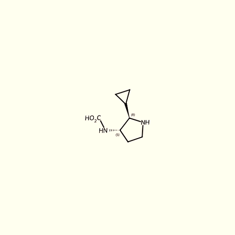 O=C(O)N[C@H]1CCN[C@@H]1C1CC1